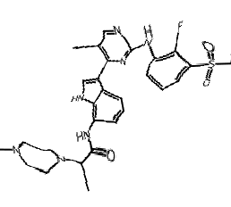 CCS(=O)(=O)c1cccc(Nc2ncc(C)c(-c3c[nH]c4c(NC(=O)C(C)N5CCN(C)CC5)cccc34)n2)c1F